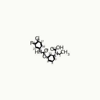 CCN(C(=O)O)c1cccc(OC(=O)Nc2ccc(Cl)c(F)c2)c1